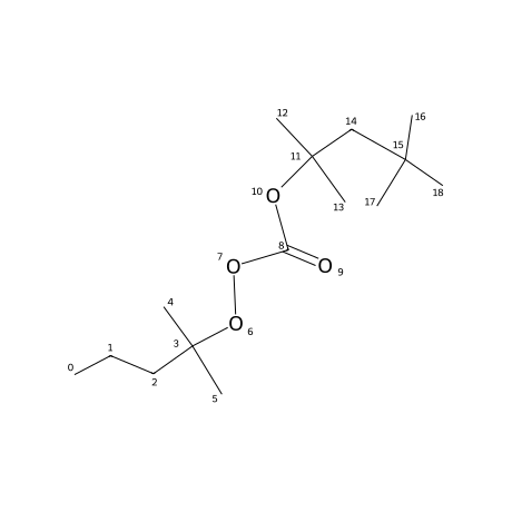 CCCC(C)(C)OOC(=O)OC(C)(C)CC(C)(C)C